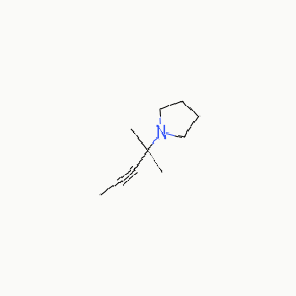 CC#CC(C)(C)N1CCCC1